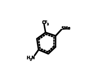 CSc1ccc(N)cc1C(F)(F)F